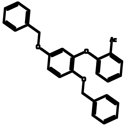 CC(=O)c1ccccc1Oc1cc(OCc2ccccc2)ccc1OCc1ccccc1